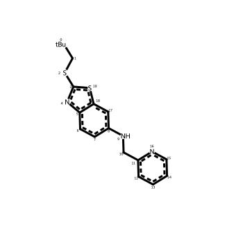 CC(C)(C)CSc1nc2ccc(NCc3ccccn3)cc2s1